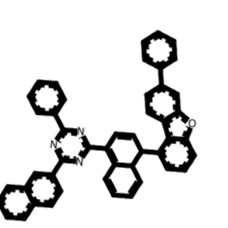 C1=CC2=C(c3nc(-c4ccccc4)nc(-c4ccc5ccccc5c4)n3)C=CC(c3cccc4oc5cc(-c6ccccc6)ccc5c34)C2C=C1